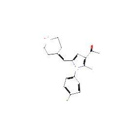 CC(=O)c1cc(C=C2CCS(O)(O)CC2)n(-c2ccc(Cl)cc2)c1C